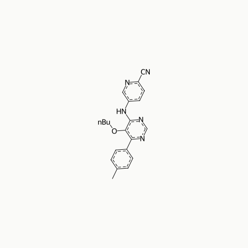 CCCCOc1c(Nc2ccc(C#N)nc2)ncnc1-c1ccc(C)cc1